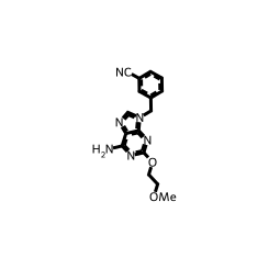 COCCOc1nc(N)c2ncn(Cc3cccc(C#N)c3)c2n1